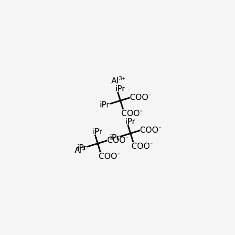 CC(C)C(C(=O)[O-])(C(=O)[O-])C(C)C.CC(C)C(C(=O)[O-])(C(=O)[O-])C(C)C.CC(C)C(C(=O)[O-])(C(=O)[O-])C(C)C.[Al+3].[Al+3]